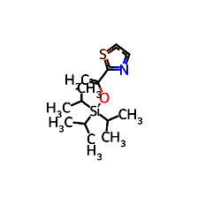 C=C(O[Si](C(C)C)(C(C)C)C(C)C)c1nccs1